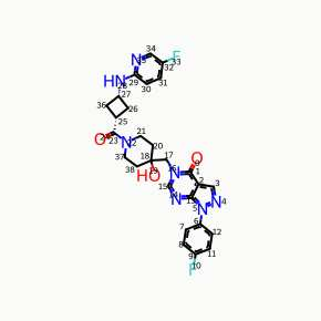 O=c1c2cnn(-c3ccc(F)cc3)c2ncn1CC1(O)CCN(C(=O)[C@H]2C[C@@H](Nc3ccc(F)cn3)C2)CC1